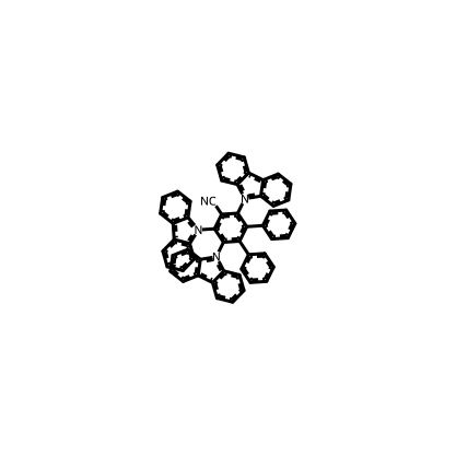 N#Cc1c(-n2c3ccccc3c3ccccc32)c(-c2ccccc2)c(-c2ccccc2)c(-n2c3ccccc3c3ccccc32)c1-n1c2ccccc2c2ccccc21